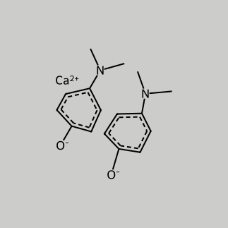 CN(C)c1ccc([O-])cc1.CN(C)c1ccc([O-])cc1.[Ca+2]